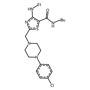 CCNc1nc(CN2CCN(c3ccc(Cl)cc3)CC2)sc1C(=O)NC(C)CC